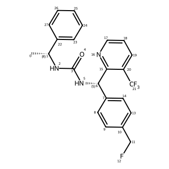 C[C@@H](NC(=O)N[C@@H](c1ccc(CF)cc1)c1ncccc1C(F)(F)F)c1ccccc1